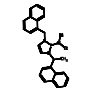 CCN(CC)P1N(Cc2cccc3ccccc23)C=CN1C(C)c1cccc2ccccc12